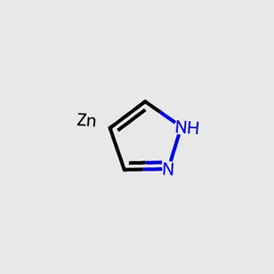 [Zn].c1cn[nH]c1